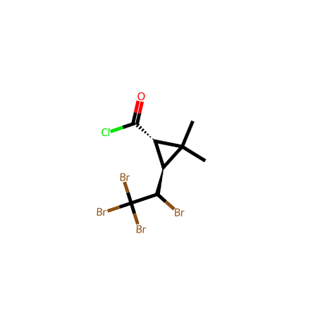 CC1(C)[C@@H](C(=O)Cl)[C@@H]1C(Br)C(Br)(Br)Br